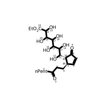 CCCCCC(=O)CC[C@@H]1C=CC(=O)[C@H]1C(O)C(O)C(O)C(O)C(O)C(O)C(=O)OCC